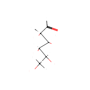 CC(=O)C(=O)[C@](O)(C(C)=O)[C@](O)(C(C)=O)[C@@](O)(C(C)=O)[C@@](O)(C(C)=O)C(O)(C(C)=O)C(C)=O